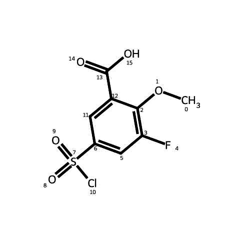 COc1c(F)cc(S(=O)(=O)Cl)cc1C(=O)O